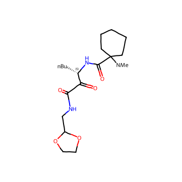 CCCC[C@H](NC(=O)C1(NC)CCCCC1)C(=O)C(=O)NCC1OCCO1